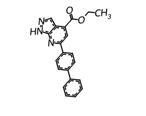 CCOC(=O)c1cc(-c2ccc(-c3ccccc3)cc2)nc2[nH]ncc12